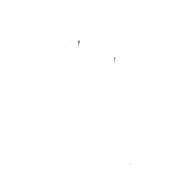 C[C@H](CCCCCO)[C@H]1CC[C@@]2(C)C3=CC[C@H]4C(C)(C)[C@@H](O)CC[C@]4(C)C3=CC[C@]12C